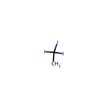 [CH2]C(I)(I)I